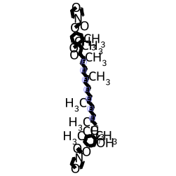 C\C(C=C=C1C(C)(C)CC(OC(=O)N2CCOCC2)C[C@@]1(C)O)=C/C=C/C(C)=C/C=C/C=C(C)/C=C/C=C(\C)C(=O)CC12OC1(C)CC(OC(=O)N1CCOCC1)CC2(C)C